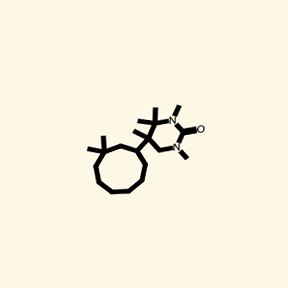 CN1CC(C)(C2CCCCCCC(C)(C)C2)C(C)(C)N(C)C1=O